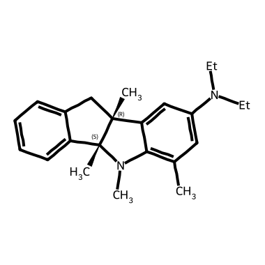 CCN(CC)c1cc(C)c2c(c1)[C@@]1(C)Cc3ccccc3[C@@]1(C)N2C